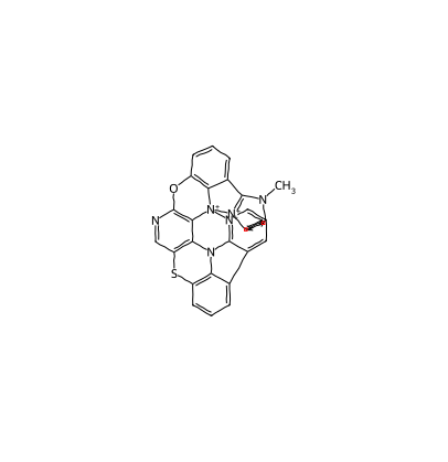 Cn1c2[n+](c3ccccc31)[N+]13c4c(cccc4-2)Oc2ncc4c(c21)-n1c2c(cccc2c2ccc[n+]3c21)S4